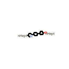 CCCCCCCOc1ccc(-c2ccc(-c3ccc(CCCCCCC)cn3)cc2)cc1